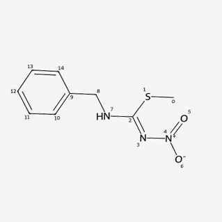 CS/C(=N\[N+](=O)[O-])NCc1ccccc1